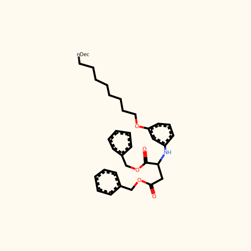 CCCCCCCCCCCCCCCCCCOc1cccc(NC(CC(=O)OCc2ccccc2)C(=O)OCc2ccccc2)c1